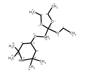 CCOC(OCC)(OCC)[SiH2]OC1CC(C)(C)NC(C)(C)C1